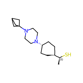 C[C@H](S)[C@H]1CC[C@H](N2CCN(C34CC(C3)C4)CC2)CC1